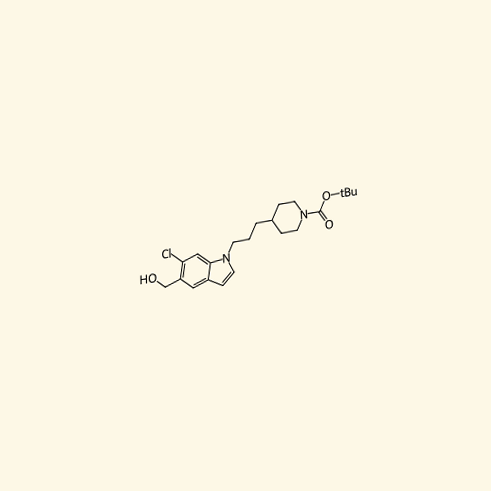 CC(C)(C)OC(=O)N1CCC(CCCn2ccc3cc(CO)c(Cl)cc32)CC1